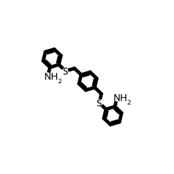 Nc1ccccc1SCc1ccc(CSc2ccccc2N)cc1